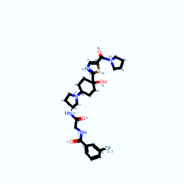 O=C(CNC(=O)c1cccc(C(F)(F)F)c1)N[C@@H]1CCN(C2CCC(O)(c3ncc(C(=O)N4CCCC4)s3)CC2)C1